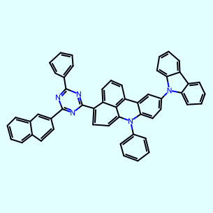 c1ccc(-c2nc(-c3ccc4ccccc4c3)nc(-c3ccc4c5c(cccc35)-c3cc(-n5c6ccccc6c6ccccc65)ccc3N4c3ccccc3)n2)cc1